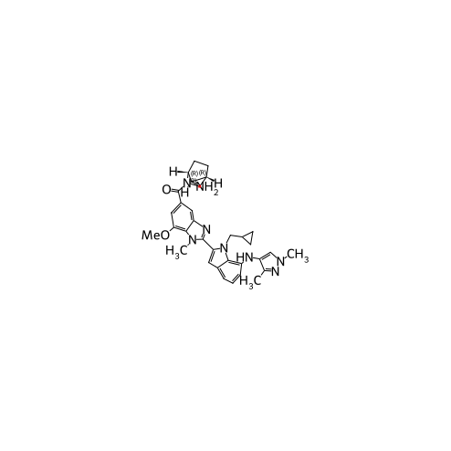 COc1cc(C(=O)N2C[C@H]3CC[C@@H]2[C@@H]3N)cc2nc(-c3cc4cccc(Nc5cn(C)nc5C)c4n3CC3CC3)n(C)c12